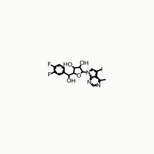 Cc1ncnc2c1c(I)cn2C1OC(C(O)c2ccc(F)c(F)c2)C(O)C1O